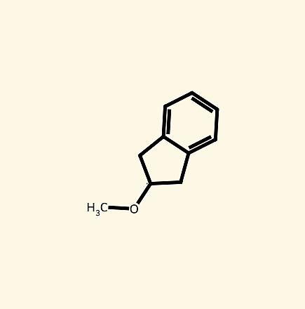 CO[C]1Cc2ccccc2C1